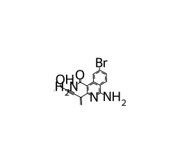 C=C(C#C[C@H](C)O)c1nc(N)c2ccc(Br)cc2c1C(N)=O